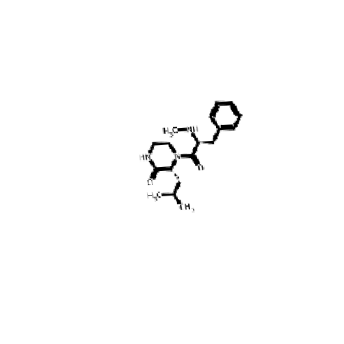 CN[C@@H](Cc1ccccc1)C(=O)N1CCNC(=O)[C@H]1CC(C)C